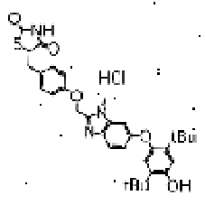 Cl.Cn1c(COc2ccc(CC3SC(=O)NC3=O)cc2)nc2ccc(Oc3cc(C(C)(C)C)c(O)cc3C(C)(C)C)cc21